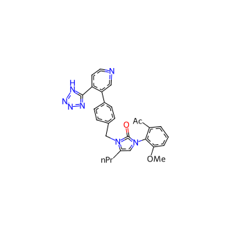 CCCc1cn(-c2c(OC)cccc2C(C)=O)c(=O)n1Cc1ccc(-c2cnccc2-c2nnn[nH]2)cc1